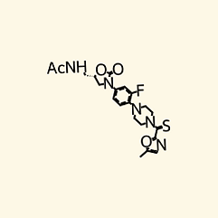 CC(=O)NC[C@H]1CN(c2ccc(N3CCN(C(=S)c4ncc(C)o4)CC3)c(F)c2)C(=O)O1